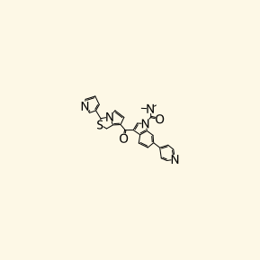 CN(C)C(=O)n1cc(C(=O)c2ccn3c2CSC3c2cccnc2)c2ccc(-c3ccncc3)cc21